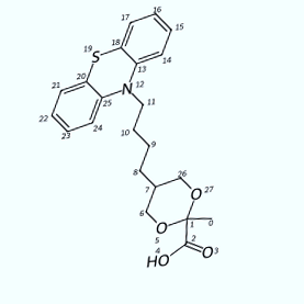 CC1(C(=O)O)OCC(CCCCN2c3ccccc3Sc3ccccc32)CO1